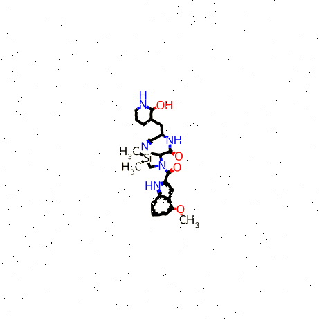 COc1cccc2[nH]c(C(=O)N3C[Si](C)(C)CC3C(=O)NC(C#N)CC3CCCNC3O)cc12